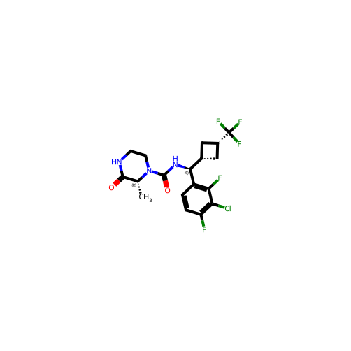 C[C@@H]1C(=O)NCCN1C(=O)N[C@H](c1ccc(F)c(Cl)c1F)[C@H]1C[C@@H](C(F)(F)F)C1